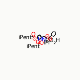 CCCC(C)C(=O)Oc1ccc(C[C@](NC(C)C)(OC(=O)C2CCCCC2)C(=O)O)cc1OC(=O)C(C)CCC